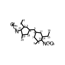 CCC1CC(CC2CC(C)C(N=C=O)C(CC)C2)CC(C)C1N=C=O